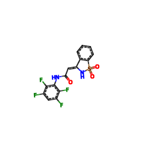 O=C(C=C1NS(=O)(=O)c2ccccc21)Nc1c(F)c(F)cc(F)c1F